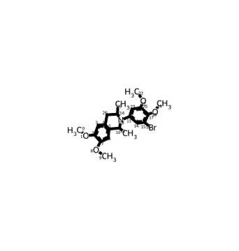 COc1cc2c(cc1OC)C(C)N(c1cc(Br)c(OC)c(OC)c1)C(C)C2